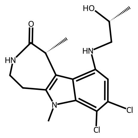 C[C@@H](O)CNc1cc(Cl)c(Cl)c2c1c1c(n2C)CCNC(=O)[C@@H]1C